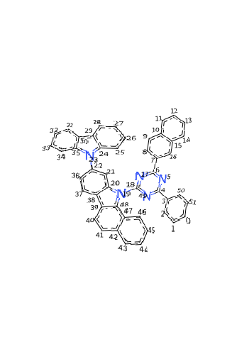 c1ccc(-c2nc(-c3ccc4ccccc4c3)nc(-n3c4cc(-n5c6ccccc6c6ccccc65)ccc4c4ccc5ccccc5c43)n2)cc1